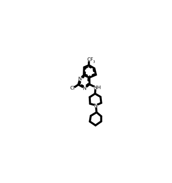 FC(F)(F)c1ccc2c(NC3CCN(C4CCCCC4)CC3)nc(Cl)nc2c1